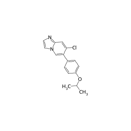 CC(C)Oc1ccc(-c2cn3ccnc3cc2Cl)cc1